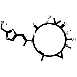 C/C1=C/C[C@@H](/C(C)=C/c2csc(CN)n2)OC(=O)C[C@H](O)C(C)(C)C(=O)[C@H](C)[C@@H](O)[C@@H](C)C2CC2C1